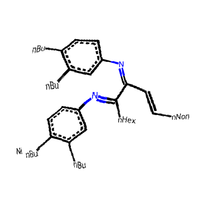 CCCCCCCCCC=CC(=Nc1ccc(CCCC)c(CCCC)c1)C(CCCCCC)=Nc1ccc(CCCC)c(CCCC)c1.[Ni]